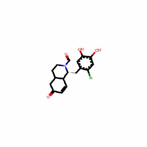 O=CN1CCC2CC(=O)C=CC2[C@H]1Cc1cc(O)c(O)cc1Br